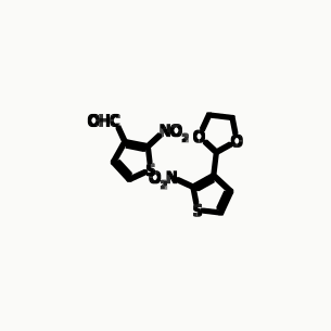 O=Cc1ccsc1[N+](=O)[O-].O=[N+]([O-])c1sccc1C1OCCO1